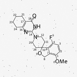 COc1ccc(F)c2c1COC21CCN(c2nc3c(c(=O)[nH]2)CCCC3)CC1